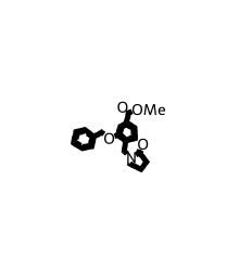 COC(=O)c1ccc(CN2CCCC2=O)c(OCc2ccccc2)c1